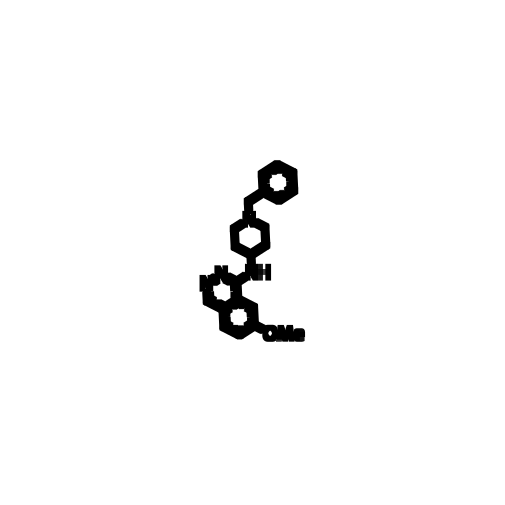 COc1ccc2cnnc(NC3CCN(Cc4ccccc4)CC3)c2c1